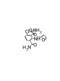 NC(=O)c1ccc(Cl)c(S(N)(=O)=O)c1NCc1ccco1